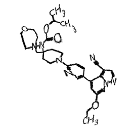 CCOc1cc(-c2ccc(N3CCC(CN4CCOCC4)(NC(=O)OC(C)C)CC3)nc2)c2c(C#N)cnn2c1